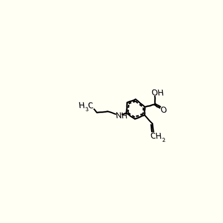 C=Cc1cc(NCCC)ccc1C(=O)O